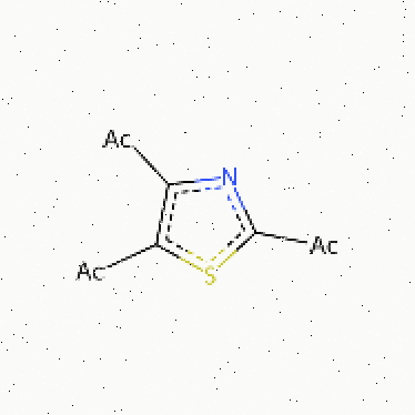 CC(=O)c1nc(C(C)=O)c(C(C)=O)s1